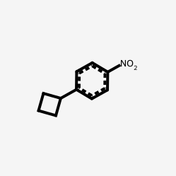 O=[N+]([O-])c1ccc(C2CCC2)cc1